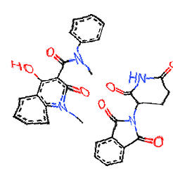 CN(C(=O)c1c(O)c2ccccc2n(C)c1=O)c1ccccc1.O=C1CCC(N2C(=O)c3ccccc3C2=O)C(=O)N1